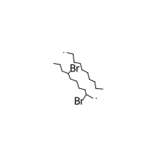 [CH2]C(Br)CCCCC(Br)CCC.[CH2]CCCCCCCCC